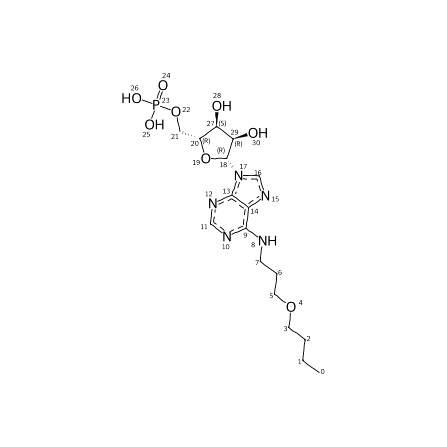 CCCCOCCCNc1ncnc2c1ncn2[C@@H]1O[C@H](COP(=O)(O)O)[C@@H](O)[C@H]1O